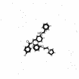 O=C(c1ccc(F)cc1)N(CC1CCCC(NCc2ccccc2)C1)c1cccc(OCCN2CCCC2)c1